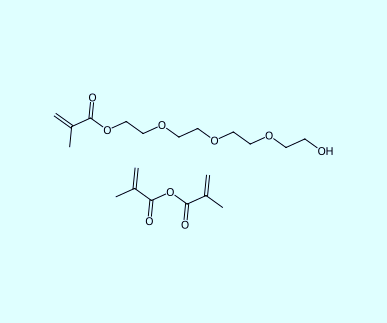 C=C(C)C(=O)OC(=O)C(=C)C.C=C(C)C(=O)OCCOCCOCCOCCO